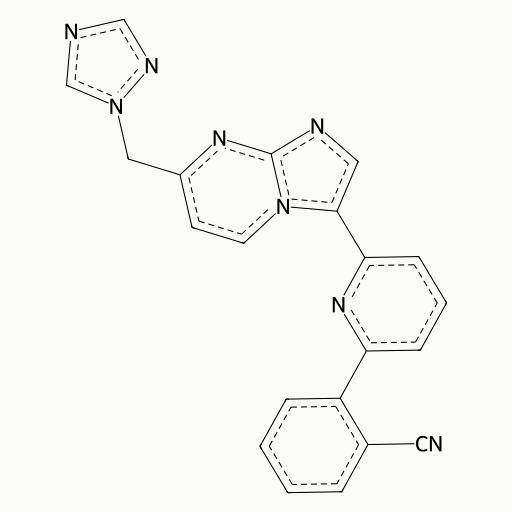 N#Cc1ccccc1-c1cccc(-c2cnc3nc(Cn4cncn4)ccn23)n1